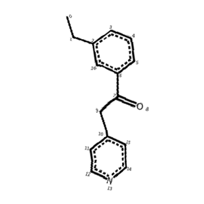 CCc1cccc(C(=O)Cc2ccncc2)c1